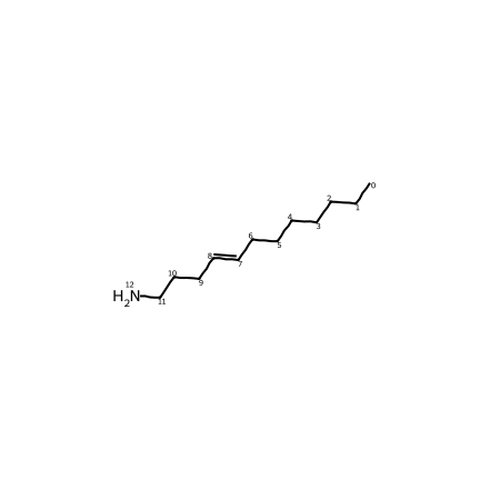 CCCCCCCC=CCCCN